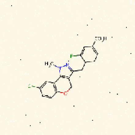 Cn1nc(CC2CC=C(C(=O)O)C=C2F)c2c1-c1cc(Cl)ccc1OC2